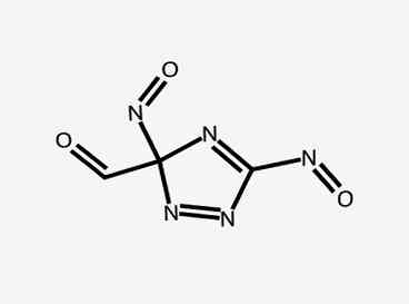 O=CC1(N=O)N=NC(N=O)=N1